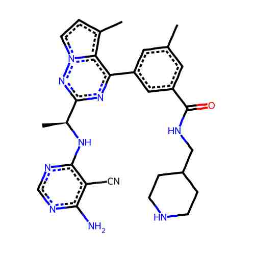 Cc1cc(C(=O)NCC2CCNCC2)cc(-c2nc([C@H](C)Nc3ncnc(N)c3C#N)nn3ccc(C)c23)c1